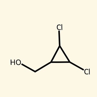 OCC1C(Cl)C1Cl